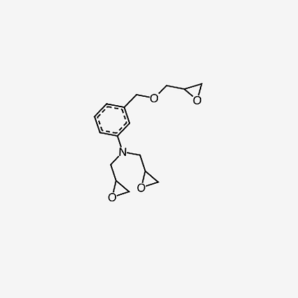 c1cc(COCC2CO2)cc(N(CC2CO2)CC2CO2)c1